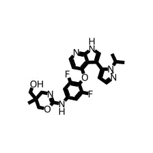 CC(C)n1nccc1-c1c[nH]c2nccc(Oc3c(F)cc(NC4=NCC(C)(CO)CO4)cc3F)c12